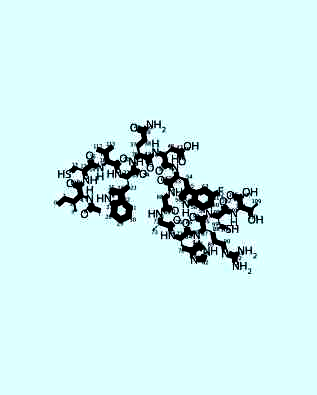 CC[C@H](C)[C@H](NC(C)=O)C(=O)N[C@@H](CS)C(=O)N[C@H](C(=O)N[C@@H](Cc1c[nH]c2ccccc12)C(=O)N[C@@H](CCC(N)=O)C(=O)N[C@@H](CC(=O)O)C(=O)N[C@@H](Cc1c[nH]c2ccc(F)cc12)C(=O)NCC(=O)N[C@@H](C)C(=O)N[C@@H](Cc1c[nH]cn1)C(=O)N[C@@H](CCCN=C(N)N)C(=O)N[C@@H](CS)C(=O)N[C@H](C(=O)O)[C@@H](C)O)C(C)C